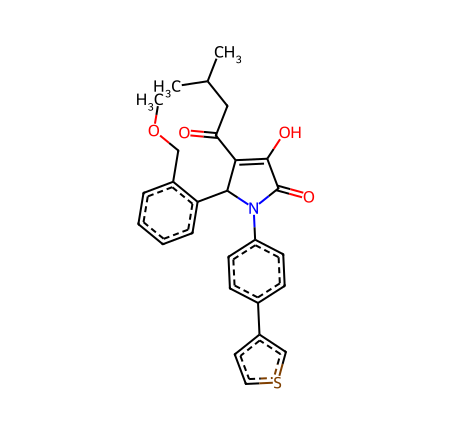 COCc1ccccc1C1C(C(=O)CC(C)C)=C(O)C(=O)N1c1ccc(-c2ccsc2)cc1